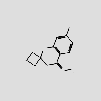 Cc1ccc2c(c1)OC1(CCC1)C/C2=N/O